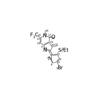 CCSc1cc(Br)cnc1C1=Nc2cc(C(F)(F)F)n(C)c(=O)c2C1C